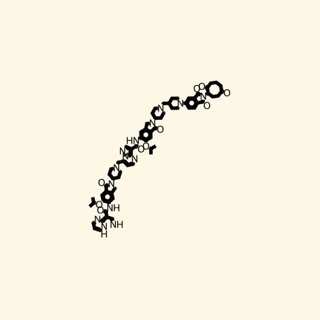 CC(C)Oc1cc2c(cc1NC(=O)/C(C=N)=C1\N=CC=CN1)CN(C1CCN(Cc3ccnc4c(C(=O)Nc5cc6c(cc5OC(C)C)C(=O)N(C5CCN(CC7CCN(c8ccc9c(c8)C(=O)N(C8CCC(=O)CCCC8=O)C9=O)CC7)CC5)C6)cnn34)CC1)C2=O